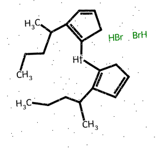 Br.Br.CCCC(C)C1=[C]([Hf][C]2=C(C(C)CCC)C=CC2)CC=C1